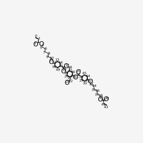 C=CC(=O)OCCCCCCOc1ccc(C(=O)Oc2cc(C=O)c(OC(=O)c3ccc(OCCCCCCOC(=O)C=C)cc3)cc2C)cc1